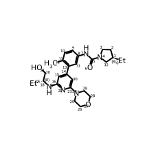 CC[C@@H]1CCN(C(=O)Nc2ccc(C)c(-c3cc(N[C@H](CC)CO)nc(N4CCOCC4)c3)c2)C1